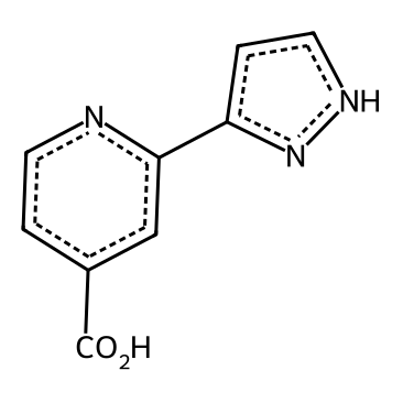 O=C(O)c1ccnc(-c2cc[nH]n2)c1